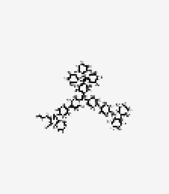 C=C/C=c1\c(=C)c2cccc3c4cc(C5C=CC(N(c6ccc([Si](c7ccccc7)(c7ccccc7)c7ccccc7)cc6)C6C=CC(c7ccc(-n8c9ccccc9c9ccccc98)cc7)=CC6)=CC5)ccc4n1c23